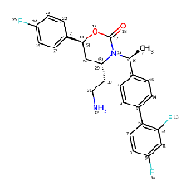 C[C@@H](c1ccc(-c2ccc(F)cc2F)cc1)N1C(=O)O[C@H](c2ccc(F)cc2)C[C@H]1CCN